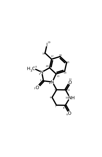 Cn1c(=O)n(C2CCC(=O)NC2=O)c2cccc(CI)c21